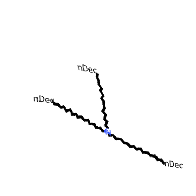 CCCCCCCCCCCCCCCCCCCCCCCCCCCN(CCCCCCCCCCCCCCCCCCCCCCCCCCC)CCCCCCCCCCCCCCCCCCCCCCCCCCC